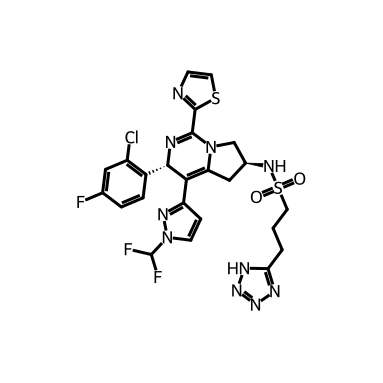 O=S(=O)(CCCc1nnn[nH]1)N[C@H]1CC2=C(c3ccn(C(F)F)n3)[C@H](c3ccc(F)cc3Cl)N=C(c3nccs3)N2C1